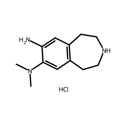 CN(C)c1cc2c(cc1N)CCNCC2.Cl